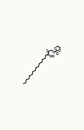 CCCCCCCCCCCCCCC[C@@H](O)[C@@H](C)COP1(=O)OCCO1